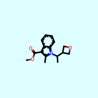 COC(=O)c1c(C)n(C(C)C2COC2)c2ccccc12